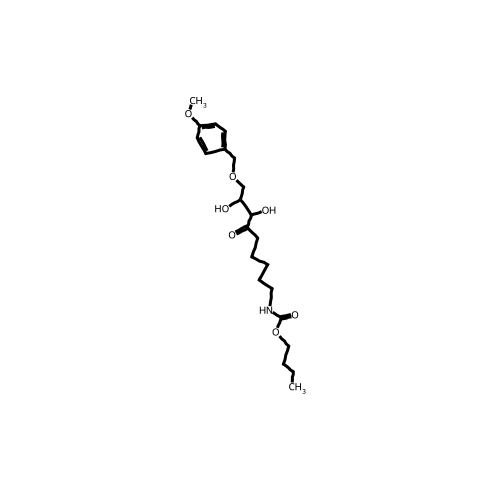 CCCCOC(=O)NCCCCCC(=O)C(O)C(O)COCc1ccc(OC)cc1